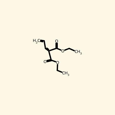 C=CC=C(C(=O)OCC)C(=O)OCC